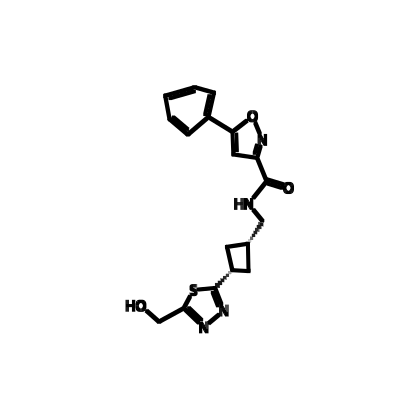 O=C(NC[C@H]1C[C@@H](c2nnc(CO)s2)C1)c1cc(-c2ccccc2)on1